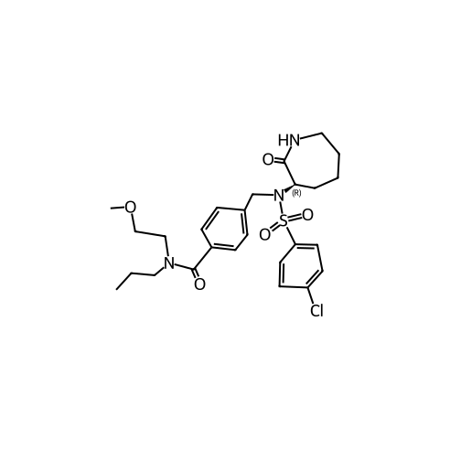 CCCN(CCOC)C(=O)c1ccc(CN([C@@H]2CCCCNC2=O)S(=O)(=O)c2ccc(Cl)cc2)cc1